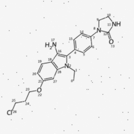 CCn1c(-c2ccc(N3CCNC3=O)cc2)c(N)c2ccc(OCCCCl)cc21